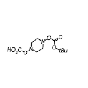 CC(C)(C)OC(=O)ON1CCN(OC(=O)O)CC1